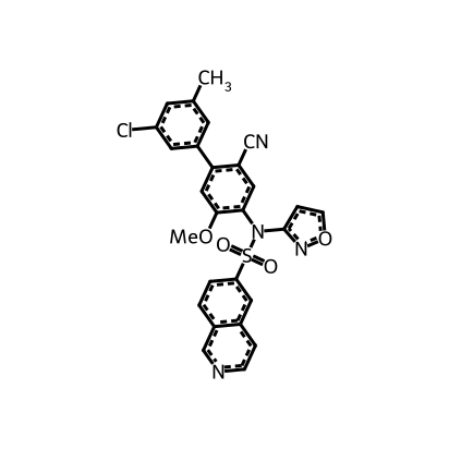 COc1cc(-c2cc(C)cc(Cl)c2)c(C#N)cc1N(c1ccon1)S(=O)(=O)c1ccc2cnccc2c1